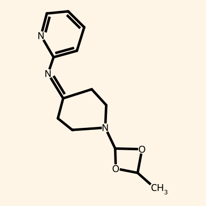 CC1OC(N2CCC(=Nc3ccccn3)CC2)O1